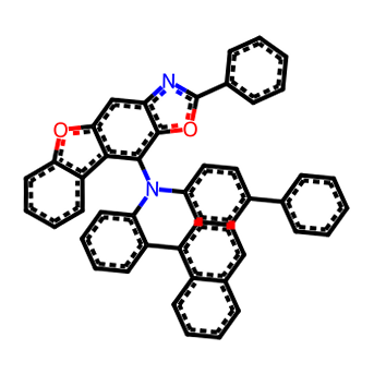 c1ccc(-c2ccc(N(c3ccccc3-c3cccc4ccccc34)c3c4oc(-c5ccccc5)nc4cc4oc5ccccc5c34)cc2)cc1